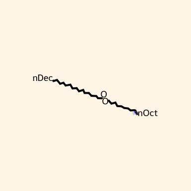 CCCCCCCC/C=C/CCCCCCCCOC(=O)CCCCCCCCCCCCCCCCCCCCCCCCC